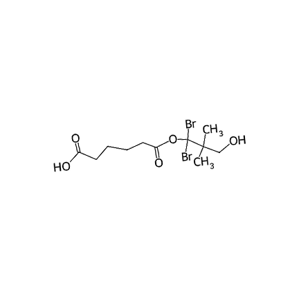 CC(C)(CO)C(Br)(Br)OC(=O)CCCCC(=O)O